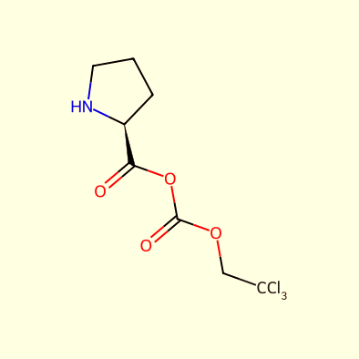 O=C(OCC(Cl)(Cl)Cl)OC(=O)[C@@H]1CCCN1